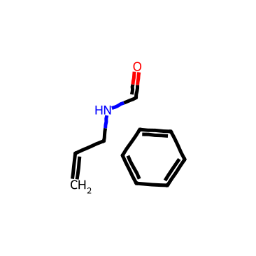 C=CCNC=O.c1ccccc1